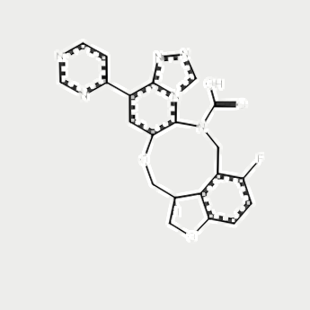 O=C(O)N1Cc2c(F)ccc3c2[C@@H](CO3)COc2cc(-c3ccncn3)c3nncn3c21